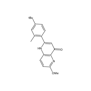 COc1ccc2[nH]c(-c3ccc(C(C)(C)C)cc3C)cc(=O)c2n1